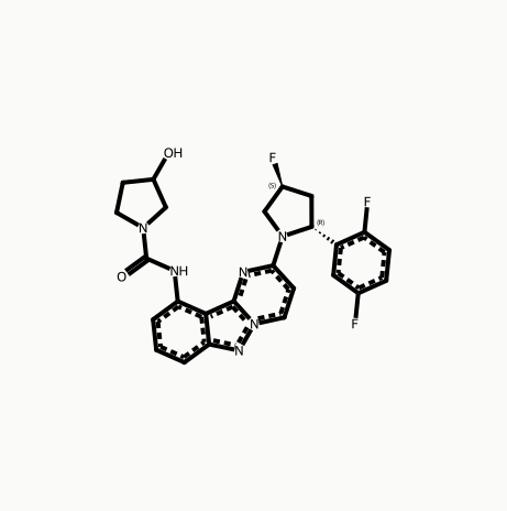 O=C(Nc1cccc2nn3ccc(N4C[C@@H](F)C[C@@H]4c4cc(F)ccc4F)nc3c12)N1CCC(O)C1